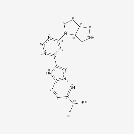 N=C(/C=C\c1ncc(-c2cc(N3CCC4CNCC43)ncn2)[nH]1)C(F)F